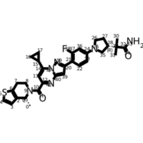 C[C@@H]1c2ccsc2CCN1C(=O)c1cc(C2CC2)n2nc(-c3ccc(N4CC[C@H](C(C)(C)C(N)=O)C4)cc3F)cc2n1